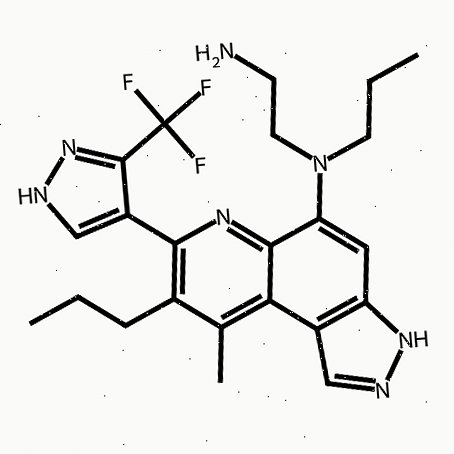 CCCc1c(-c2c[nH]nc2C(F)(F)F)nc2c(N(CCC)CCN)cc3[nH]ncc3c2c1C